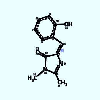 CC1=N/C(=C/c2ccccc2O)C(=O)N1C